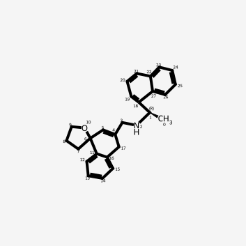 C[C@@H](NCC1=CC2(CCCO2)c2ccccc2C1)c1cccc2ccccc12